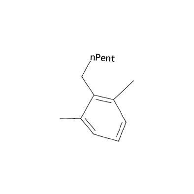 [CH2]CCCCCc1c(C)cccc1C